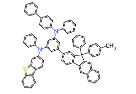 Cc1ccc(C2(c3ccccc3)c3cc(-c4cc(N(c5ccccc5)c5ccc(-c6ccccc6)cc5)cc(N(c5ccccc5)c5ccc6c(c5)sc5ccccc56)c4)ccc3-c3cc4ccccc4cc32)cc1